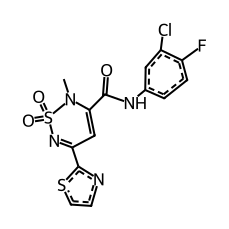 CN1C(C(=O)Nc2ccc(F)c(Cl)c2)=CC(c2nccs2)=NS1(=O)=O